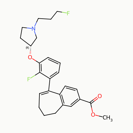 COC(=O)c1ccc2c(c1)CCCC=C2c1cccc(O[C@@H]2CCN(CCCF)C2)c1F